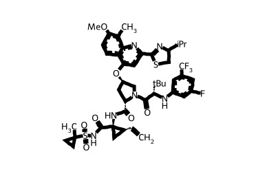 C=C[C@@H]1C[C@]1(NC(=O)[C@@H]1C[C@@H](Oc2cc(C3=NC(C(C)C)CS3)nc3c(C)c(OC)ccc23)CN1C(=O)[C@@H](Nc1cc(F)cc(C(F)(F)F)c1)C(C)(C)C)C(=O)NS(=O)(=O)C1(C)CC1